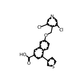 O=C(O)c1cc(-c2ccsc2)c2ccc(OCc3c(Cl)cncc3Cl)cc2c1